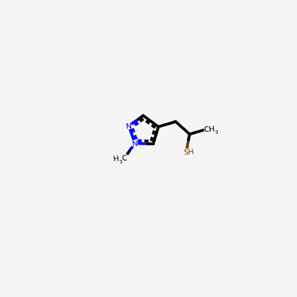 CC(S)Cc1cnn(C)c1